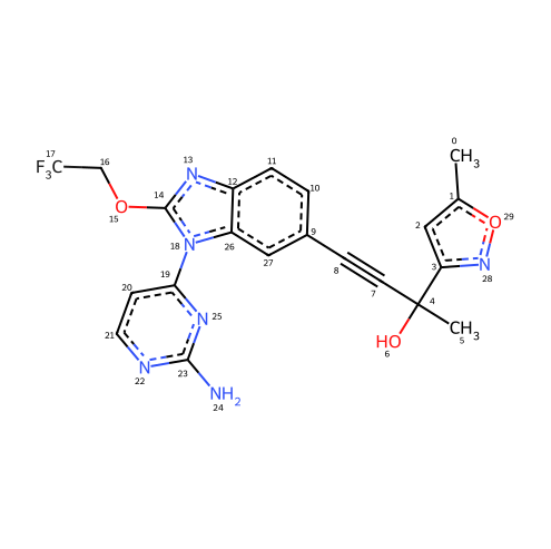 Cc1cc(C(C)(O)C#Cc2ccc3nc(OCC(F)(F)F)n(-c4ccnc(N)n4)c3c2)no1